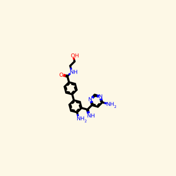 N=C(c1cc(N)ncn1)c1cc(-c2ccc(C(=O)NCCO)cc2)ccc1N